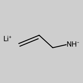 C=CC[NH-].[Li+]